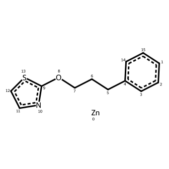 [Zn].c1ccc(CCCOc2nccs2)cc1